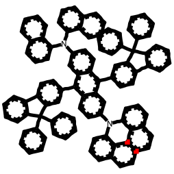 c1ccc(C2(c3ccccc3)c3ccccc3-c3ccc(-c4c5ccc(N(c6cccc7ccccc67)c6cccc7ccccc67)cc5c(-c5ccc6c(c5)C(c5ccccc5)(c5ccccc5)c5ccccc5-6)c5ccc(N(c6cccc7ccccc67)c6cccc7ccccc67)cc45)cc32)cc1